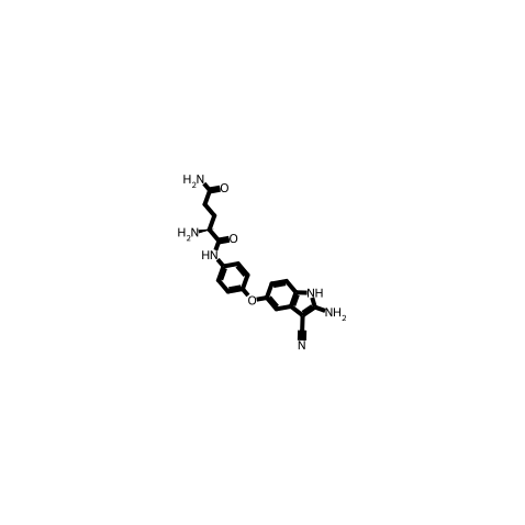 N#Cc1c(N)[nH]c2ccc(Oc3ccc(NC(=O)[C@@H](N)CCC(N)=O)cc3)cc12